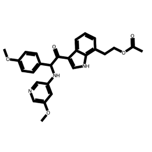 COc1ccc(C(Nc2cncc(OC)c2)C(=O)c2c[nH]c3c(CCOC(C)=O)cccc23)cc1